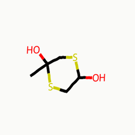 CC1(O)CSC(O)CS1